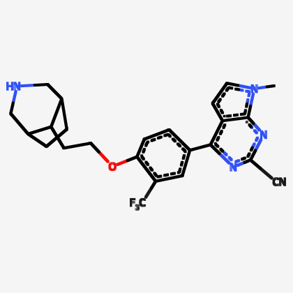 Cn1ccc2c(-c3ccc(OCCC4C5CCC4CNC5)c(C(F)(F)F)c3)nc(C#N)nc21